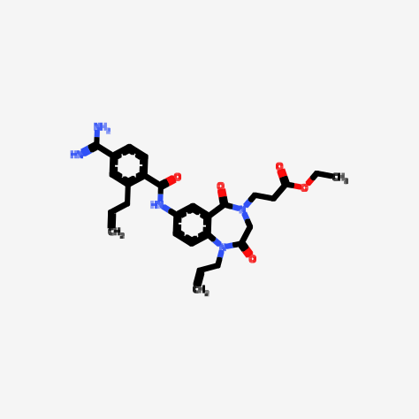 C=CCc1cc(C(=N)N)ccc1C(=O)Nc1ccc2c(c1)C(=O)N(CCC(=O)OCC)CC(=O)N2CC=C